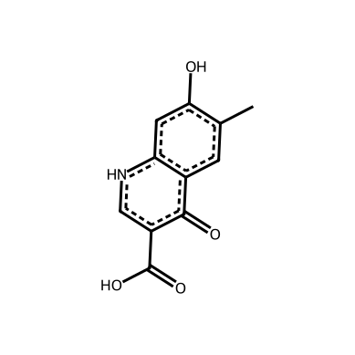 Cc1cc2c(=O)c(C(=O)O)c[nH]c2cc1O